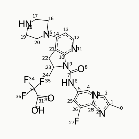 Cc1cn2cc(NC(=O)N3c4nccc(N5CCNCC5)c4CC3C)cc(F)c2n1.O=C(O)C(F)(F)F